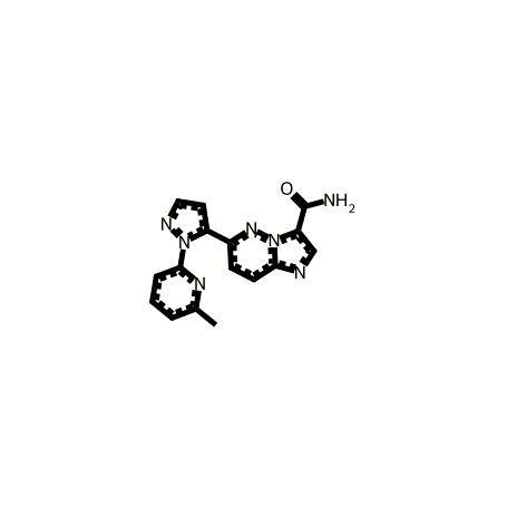 Cc1cccc(-n2nccc2-c2ccc3ncc(C(N)=O)n3n2)n1